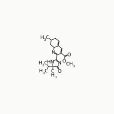 COC(=O)C1=CC2=CCC(C)CC2N=C1C1=NC(=O)C(C)(C(C)C)N1